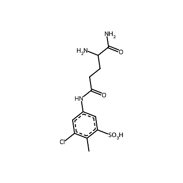 Cc1c(Cl)cc(NC(=O)CCC(N)C(N)=O)cc1S(=O)(=O)O